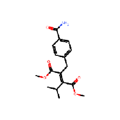 COC(=O)C(Cc1ccc(C(N)=O)cc1)=C(C(=O)OC)C(C)C